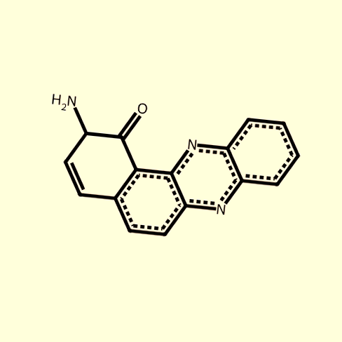 NC1C=Cc2ccc3nc4ccccc4nc3c2C1=O